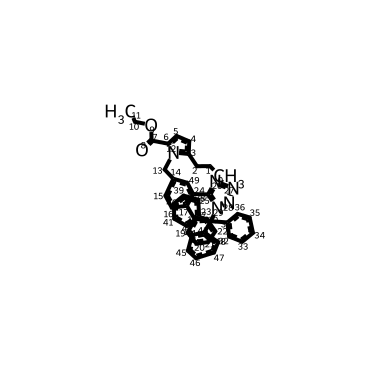 CCCc1ccc(C(=O)OCC)n1Cc1ccc(-c2ccccc2)c(-c2nnnn2C(c2ccccc2)(c2ccccc2)c2ccccc2)c1